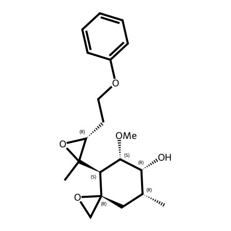 CO[C@@H]1[C@H](O)[C@H](C)C[C@]2(CO2)[C@H]1C1(C)O[C@@H]1CCOc1ccccc1